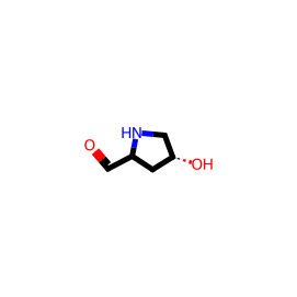 O=CC1C[C@@H](O)CN1